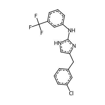 FC(F)(F)c1cccc(Nc2nc(Cc3cccc(Cl)c3)c[nH]2)c1